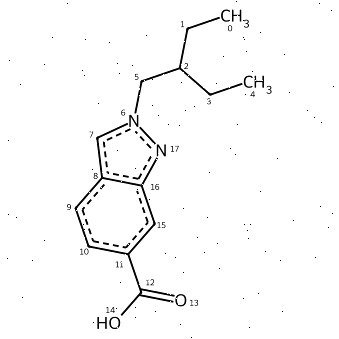 CCC(CC)Cn1cc2ccc(C(=O)O)cc2n1